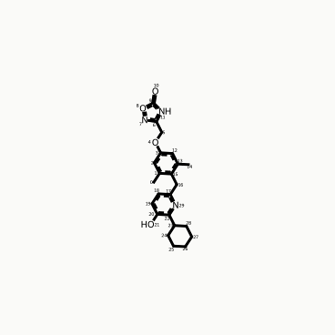 Cc1cc(OCc2noc(=O)[nH]2)cc(C)c1Cc1ccc(O)c(C2CCCCC2)n1